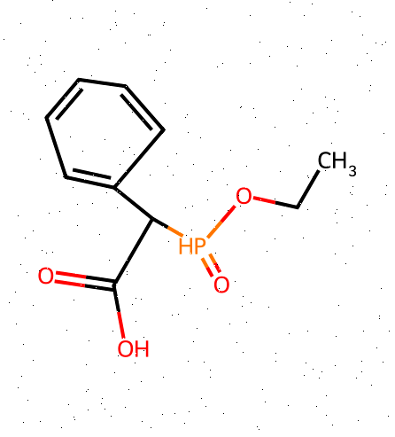 CCO[PH](=O)C(C(=O)O)c1ccccc1